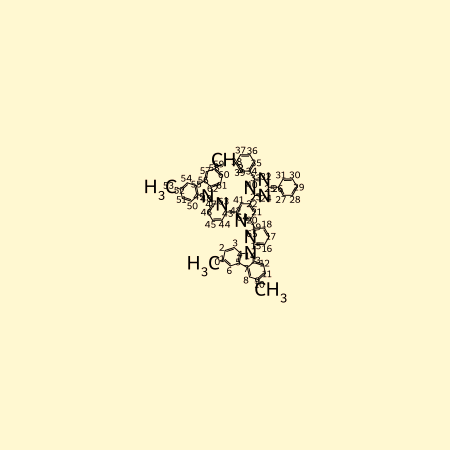 Cc1ccc2c(c1)c1cc(C)ccc1n2-c1cccc(-c2cc(-c3nc(-c4ccccc4)nc(-c4ccccc4)n3)cc(-c3cccc(-n4c5ccc(C)cc5c5cc(C)ccc54)n3)n2)n1